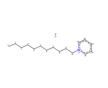 CCCCCCCCCCC[n+]1ccccc1.[I-]